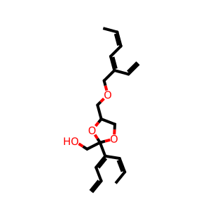 C=C/C=C(\C=C/C)C1(CO)OCC(COC/C(C=C)=C/C=C\C)O1